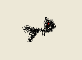 Cc1ncsc1-c1ccc(CNC(=O)[C@@H]2C[C@@H](O)CN2C(=O)C(NC(=O)CCCCCNC(=O)CN2CCC(n3cc(-c4cnc5cccc(-c6cc(F)c(CN7CCOCC7)c(F)c6)c5n4)cn3)CC2)C(C)(C)C)cc1